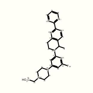 CC1c2cnc(-c3ncccn3)nc2CCN1c1cc(N2CCN(CC(=O)O)CC2)cc(F)n1